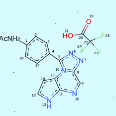 CC(=O)Nc1ccc(-c2nnc3cnc4[nH]ccc4n23)cc1.O=C(O)C(F)(F)F